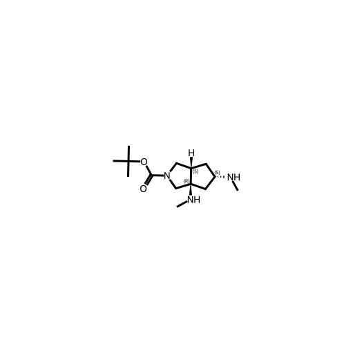 CN[C@H]1C[C@H]2CN(C(=O)OC(C)(C)C)C[C@@]2(NC)C1